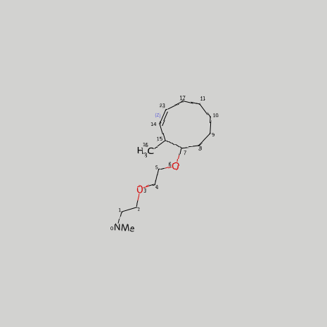 CNCCOCCOC1CCCCC/C=C\C1C